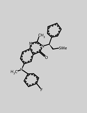 CSC[C@H](c1ccccc1)n1c(C)nc2ccc(N(C)c3ccc(F)cc3)cc2c1=O